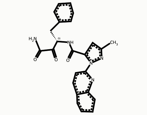 Cc1cc(C(=O)N[C@@H](Cc2ccccc2)C(=O)C(N)=O)n(-c2ccc3ccccc3n2)n1